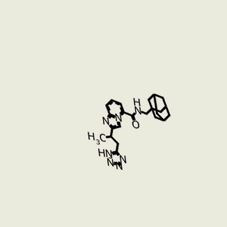 CC(Cc1nnn[nH]1)c1cn2c(C(=O)NCC34CC5CC(CC(C5)C3)C4)cccc2n1